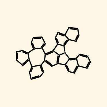 c1ccc2c(c1)-c1ccccc1-c1cc3c4ccc5ccccc5c4n4c5c6ccccc6ccc5c(c1-c1ccccc1-2)c34